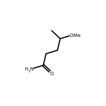 COC(C)CCC(N)=O